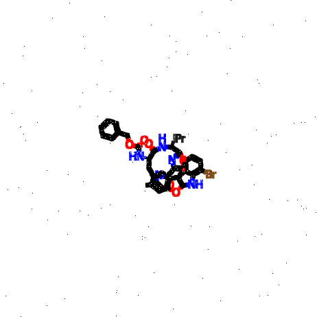 Cc1coc(-c2nc3oc2C24c5cc(ccc5OC2Nc2c(Br)cccc24)C[C@H](NC(=O)OCc2ccccc2)C(=O)N[C@H]3C(C)C)n1